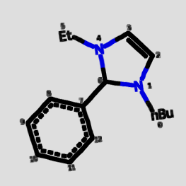 CCCCN1C=CN(CC)C1c1ccccc1